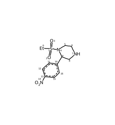 CCS(=O)(=O)N1CCNCC1c1ccc([N+](=O)[O-])cc1